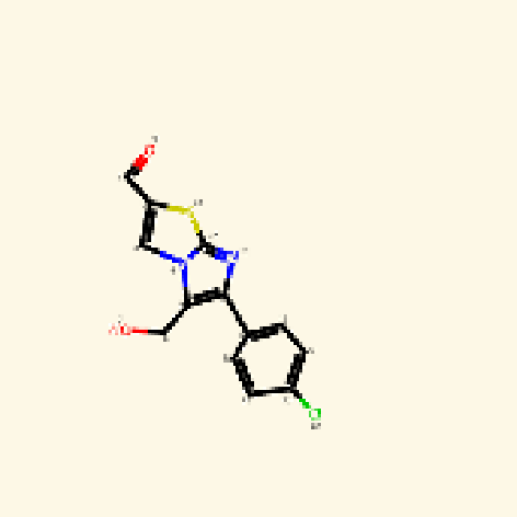 O=Cc1cn2c(CO)c(-c3ccc(Cl)cc3)nc2s1